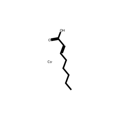 CCCCC/C=C/C(=O)O.[Co]